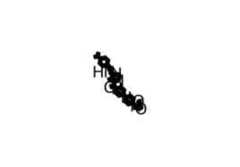 Cc1c(NCC2CCC(C(C)C)CC2)ncnc1C(=O)N1CCC(N2CCC(N(C)S(C)(=O)=O)CC2)CC1